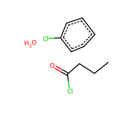 CCCC(=O)Cl.Clc1ccccc1.O